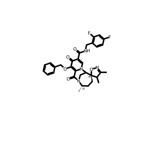 CC1=NO[C@]2(CC[C@H](C)N3CC2n2cc(C(=O)NCc4ccc(F)cc4F)c(=O)c(OCc4ccccc4)c2C3=O)C1C